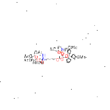 COc1ccc(C(OC[C@H]2O[C@@H](OCCCCCCNC(=O)CO[C@@H]3O[C@H](COC(C)=O)[C@H](OC(C)=O)[C@H](OC(C)=O)[C@H]3NC(C)=O)C[C@@H]2OP(OCCC#N)N(C(C)C)C(C)C)(c2ccccc2)c2ccc(OC)cc2)cc1